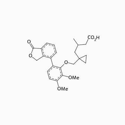 COc1ccc(-c2cccc3c2COC3=O)c(OCC2(CC(C)CC(=O)O)CC2)c1OC